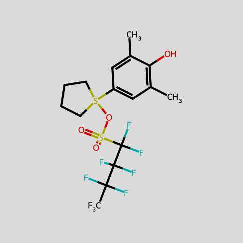 Cc1cc(S2(OS(=O)(=O)C(F)(F)C(F)(F)C(F)(F)C(F)(F)F)CCCC2)cc(C)c1O